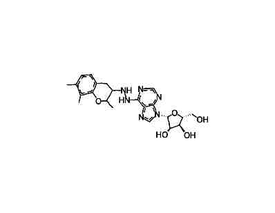 Cc1ccc2c(c1C)OC(C)C(NNc1ncnc3c1ncn3[C@@H]1O[C@H](CO)[C@@H](O)[C@H]1O)C2